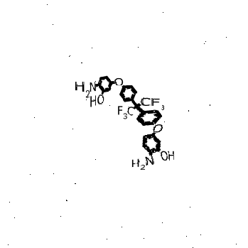 Nc1ccc(Oc2ccc(C(c3ccc(Oc4ccc(N)c(O)c4)cc3)(C(F)(F)F)C(F)(F)F)cc2)cc1O